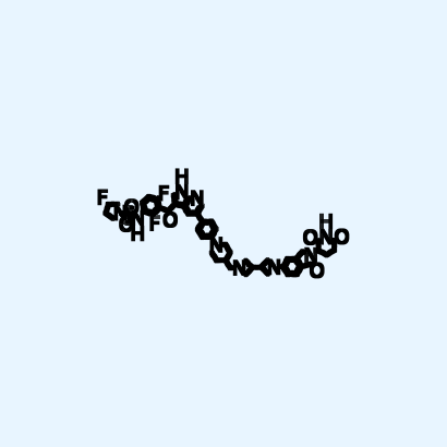 O=C1CCC(N2Cc3cc(N4CC(C5CN(CC6CCN(c7ccc(-c8cnc9[nH]cc(C(=O)c%10c(F)ccc(NS(=O)(=O)N%11CC[C@@H](F)C%11)c%10F)c9c8)cc7)CC6)C5)C4)ccc3C2=O)C(=O)N1